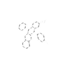 Clc1ccc(-c2c3cc(Cl)ccc3c(-c3ccccc3)c3cc4ccccc4cc23)cc1